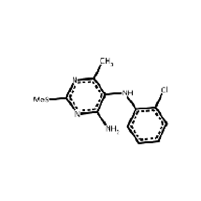 CSc1nc(C)c(Nc2ccccc2Cl)c(N)n1